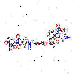 CC(COC1CNCCC1c1c2ccccc2cn1C(=O)O)OCCOCCOCCNc1ccc2c(c1)C(=O)N(C1CCC(=O)NC1=O)C2=O